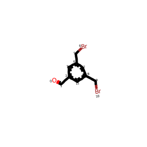 O=Cc1cc(CBr)cc(CBr)c1